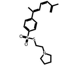 C=C(C)/C=C\C=C(/C)c1ccc(S(=O)(=O)SCCN2CCCC2)cc1